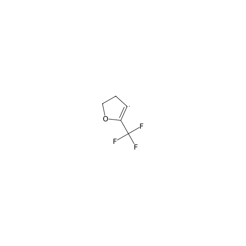 FC(F)(F)C1=[C]CCO1